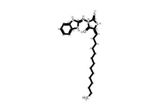 CCCCCCCCCCCCC/C=C1/SC(=S)N(N=c2sc3ccccc3s2)C1=O